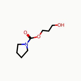 O=C(OCCCO)N1CCCC1